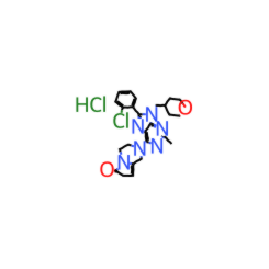 Cc1nc(N2CCN3C(=O)CC=C3C2)c2nc(-c3ccccc3Cl)n(CC3CCOCC3)c2n1.Cl